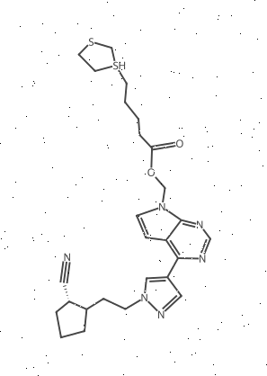 N#C[C@H]1CCCC1CCn1cc(-c2ncnc3c2ccn3COC(=O)CCCC[SH]2CCSC2)cn1